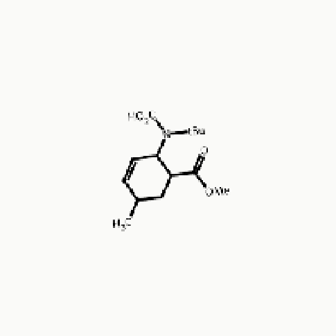 COC(=O)C1CC(C)C=CC1N(C(=O)O)C(C)(C)C